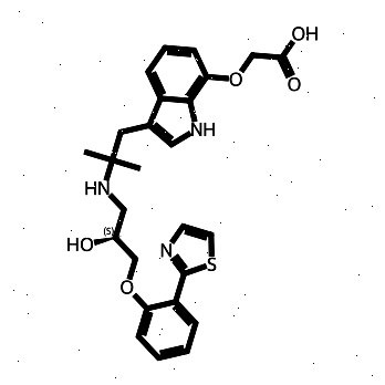 CC(C)(Cc1c[nH]c2c(OCC(=O)O)cccc12)NC[C@H](O)COc1ccccc1-c1nccs1